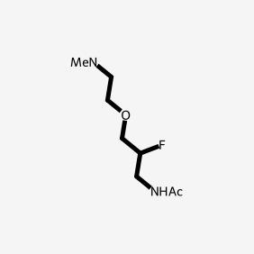 CNCCOCC(F)CNC(C)=O